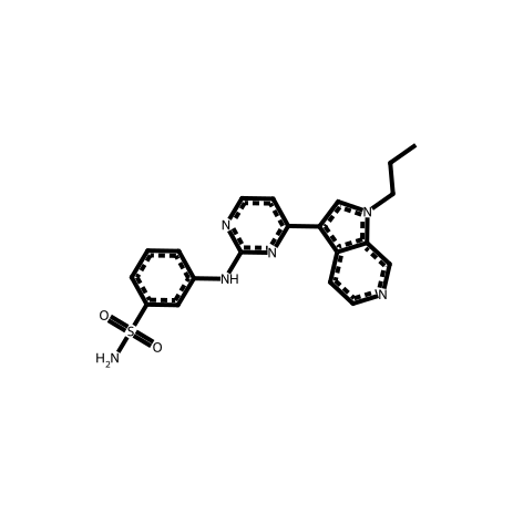 CCCn1cc(-c2ccnc(Nc3cccc(S(N)(=O)=O)c3)n2)c2ccncc21